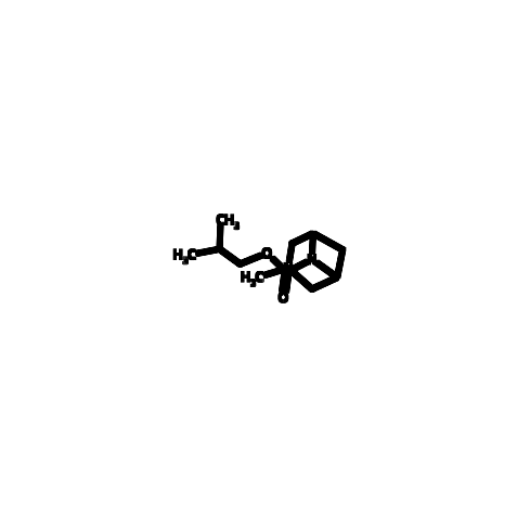 CC(C)COC(=O)N1C2CC1CN(C)C2